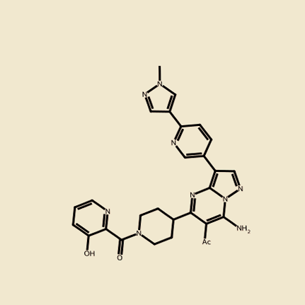 CC(=O)c1c(C2CCN(C(=O)c3ncccc3O)CC2)nc2c(-c3ccc(-c4cnn(C)c4)nc3)cnn2c1N